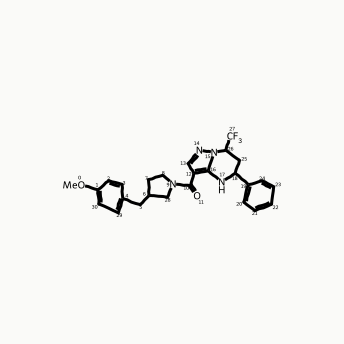 COc1ccc(CC2CCN(C(=O)c3cnn4c3NC(c3ccccc3)CC4C(F)(F)F)C2)cc1